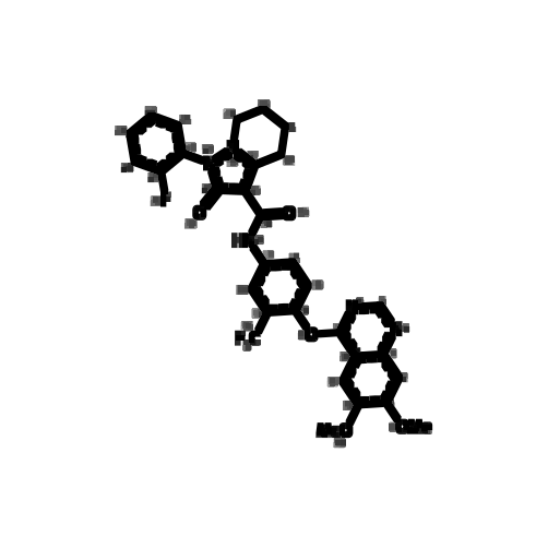 COc1cc2ncnc(Oc3ccc(NC(=O)c4c5n(n(-c6ccccc6F)c4=O)CCCC5)cc3C(F)(F)F)c2cc1OC